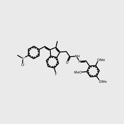 COc1cc(OC)c(C=NNC(=O)CC2=C(C)/C(=C/c3ccc([S+](C)[O-])cc3)c3ccc(F)cc32)c(OC)c1